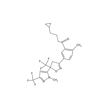 Cc1ccc(C2=NOC(c3cc(C(F)(F)F)nn3C)(C(F)(F)F)C2)cc1C(=O)CCCC1CC1